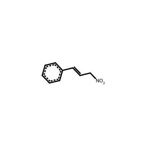 O=[N+]([O-])C/C=C/c1ccccc1